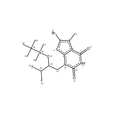 Cc1c(Br)sc2c1c(=O)[nH]c(=O)n2CC(O[Si](C)(C)C(C)(C)C)C(F)F